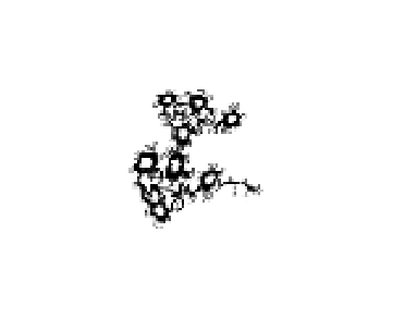 CCCCCC.O=C(SSC(=O)N(Cc1ccccc1)Cc1ccccc1)N(Cc1ccccc1)Cc1ccccc1.O=C(SSC(=O)N(Cc1ccccc1)Cc1ccccc1)N(Cc1ccccc1)Cc1ccccc1